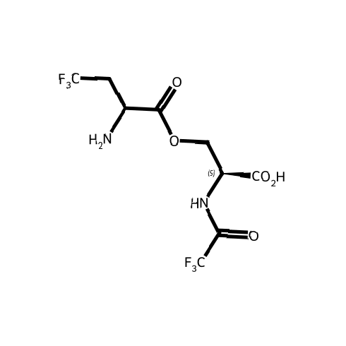 NC(CC(F)(F)F)C(=O)OC[C@H](NC(=O)C(F)(F)F)C(=O)O